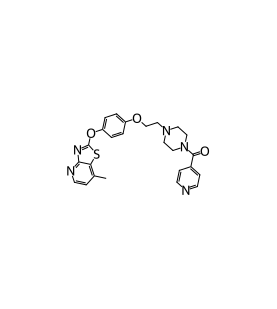 Cc1ccnc2nc(Oc3ccc(OCCN4CCN(C(=O)c5ccncc5)CC4)cc3)sc12